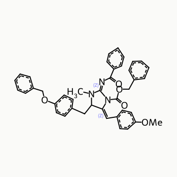 COc1ccc(/C=C2/C(Cc3ccc(OCc4ccccc4)cc3)N(C)/C(=N/C(=O)c3ccccc3)N2C(=O)OCc2ccccc2)cc1